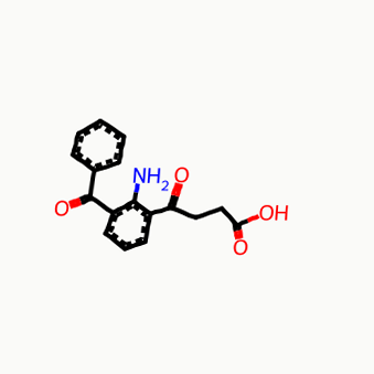 Nc1c(C(=O)CCC(=O)O)cccc1C(=O)c1ccccc1